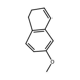 COc1ccc2c(c1)[C]=CCC2